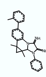 Cc1ccccc1-c1ccc2c(c1)N1C(=N)C(=N)N(c3ccccc3)C1C1(C)CC21C